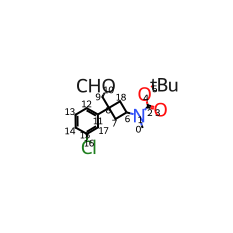 CN(C(=O)OC(C)(C)C)C1CC(CC=O)(c2cccc(Cl)c2)C1